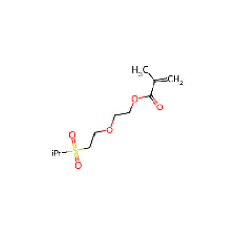 C=C(C)C(=O)OCCOCCS(=O)(=O)C(C)C